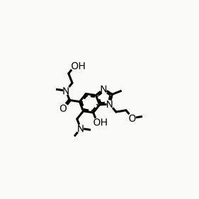 COCCn1c(C)nc2cc(C(=O)N(C)CCO)c(CN(C)C)c(O)c21